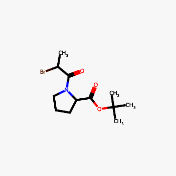 CC(Br)C(=O)N1CCCC1C(=O)OC(C)(C)C